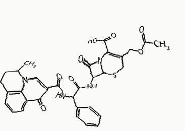 CC(=O)OCC1=C(C(=O)O)N2C(=O)C(NC(=O)C(NC(=O)c3cn4c5c(cccc5c3=O)CCC4C)c3ccccc3)C2SC1